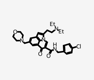 CCN(CC)CCc1cc2cc(CN3CCOCC3)cc3c(=O)c(C(=O)NCc4ccc(Cl)cc4)cn1c23